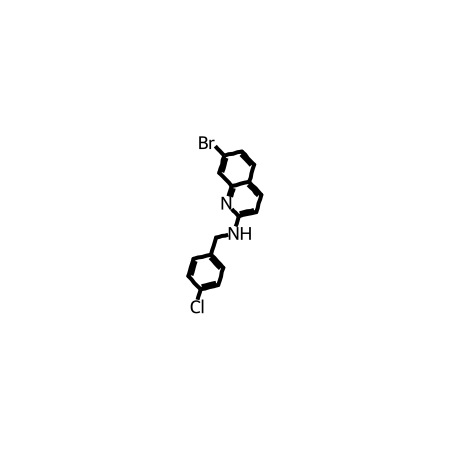 Clc1ccc(CNc2ccc3ccc(Br)cc3n2)cc1